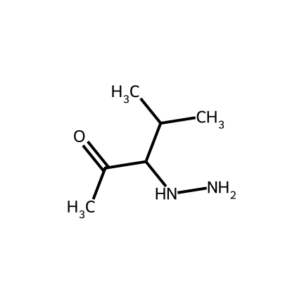 CC(=O)C(NN)C(C)C